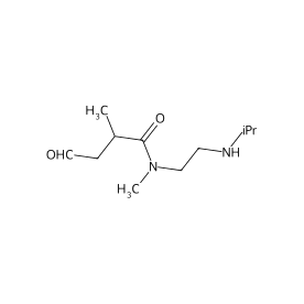 CC(C)NCCN(C)C(=O)C(C)CC=O